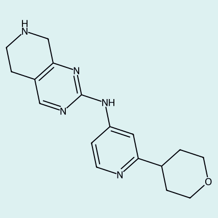 c1cc(Nc2ncc3c(n2)CNCC3)cc(C2CCOCC2)n1